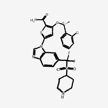 C[C@@H](Oc1cc(-n2cnc3ccc(C(F)(F)S(=O)(=O)C4CCNCC4)cc32)sc1C(N)=O)c1ccccc1Cl